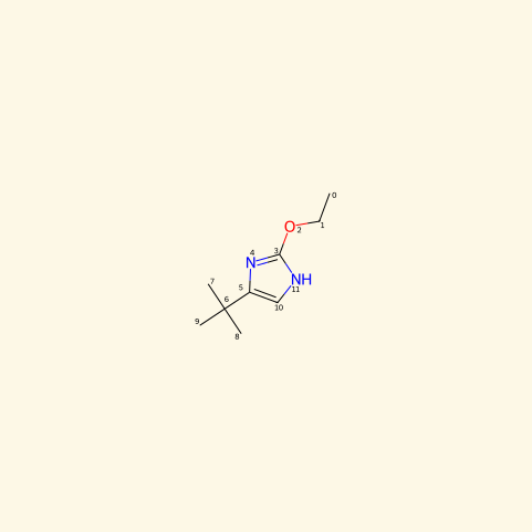 CCOc1nc(C(C)(C)C)c[nH]1